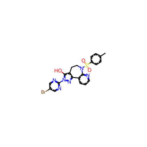 Cc1ccc(S(=O)(=O)N2CCc3c(nn(-c4ncc(Br)cn4)c3O)-c3cccnc32)cc1